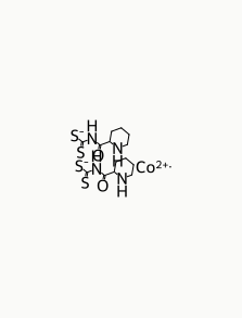 O=C(NC(=S)[S-])C1CCCCN1.O=C(NC(=S)[S-])C1CCCCN1.[Co+2]